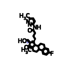 Cc1ccc(NC(=O)CCC[C@@H]2/C(=C/O)C(=O)[C@@]3(C)CCC4c5ccc(F)cc5CCC4C23)nn1